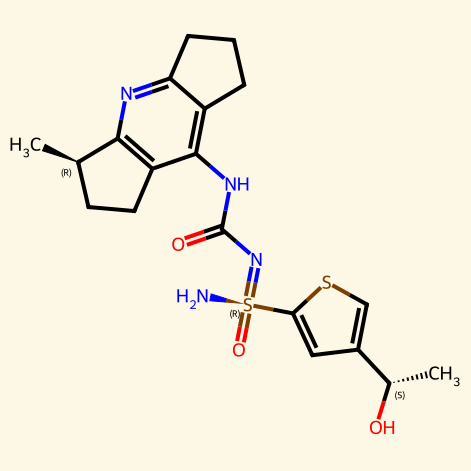 C[C@H](O)c1csc([S@](N)(=O)=NC(=O)Nc2c3c(nc4c2CC[C@H]4C)CCC3)c1